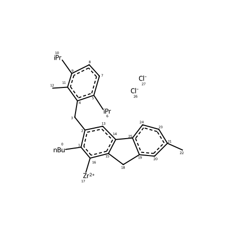 CCCCc1c(Cc2c(C(C)C)ccc(C(C)C)c2C)cc2c([c]1[Zr+2])Cc1cc(C)ccc1-2.[Cl-].[Cl-]